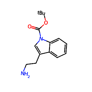 CC(C)(C)OC(=O)n1cc(CCN)c2ccccc21